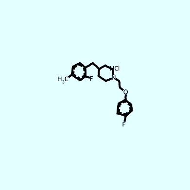 Cc1ccc(CC2CCN(CCOc3ccc(F)cc3)CC2)c(F)c1.Cl